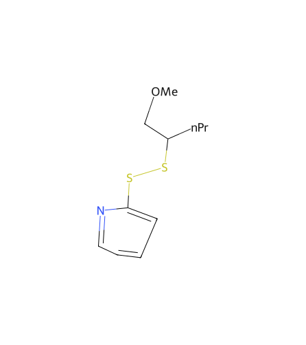 CCCC(COC)SSc1ccccn1